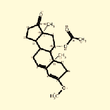 COC1=CC2=CCC3C([C@@H](OC(C)=O)C[C@]4(C)C(=O)CCC34)[C@@]2(C)CC1